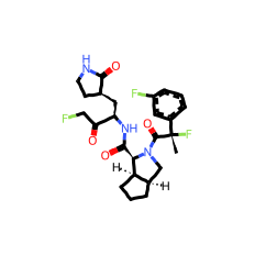 C[C@@](F)(C(=O)N1C[C@H]2CCC[C@H]2[C@H]1C(=O)N[C@H](C[C@H]1CCNC1=O)C(=O)CF)c1cccc(F)c1